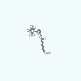 CCCCCCCCCCCCCCCCC(=O)OC[C@@H]1CC[C@H](n2cc(C)c(=O)[nH]c2=O)O1